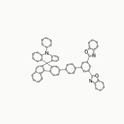 c1ccc(N2c3ccccc3C3(c4cc(-c5ccc(-c6cc(-c7nc8ccccc8o7)cc(-c7nc8ccccc8o7)c6)cc5)ccc4-c4c3ccc3ccccc43)c3ccccc32)cc1